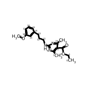 CCOC(=O)c1c(C)nc(NCCCc2cccc(OC)c2)nc1C